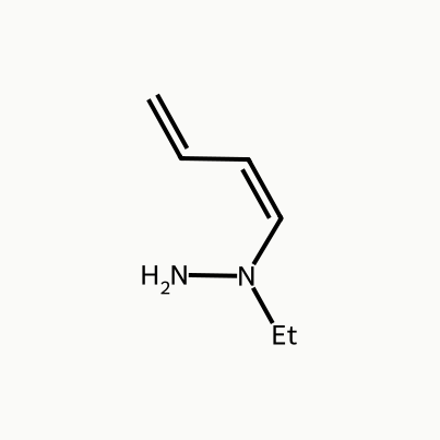 C=C/C=C\N(N)CC